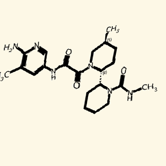 CNC(=O)N1CCCCC1[C@H]1CC[C@H](C)CN1C(=O)C(=O)Nc1cnc(N)c(C)c1